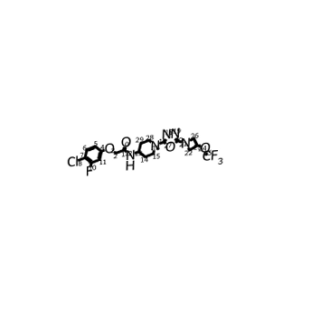 O=C(COc1ccc(Cl)c(F)c1)NC1CCN(c2nnc(N3CC(OC(F)(F)F)C3)o2)CC1